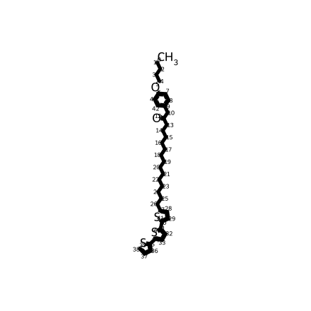 CCCCCOc1ccc(CC(=O)CCCCCCCCCCCCCCc2ccc(-c3ccc(-c4cccs4)s3)s2)cc1